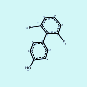 Oc1ccc(-c2c(F)cccc2F)cc1